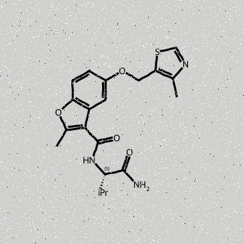 Cc1ncsc1COc1ccc2oc(C)c(C(=O)N[C@H](C(N)=O)C(C)C)c2c1